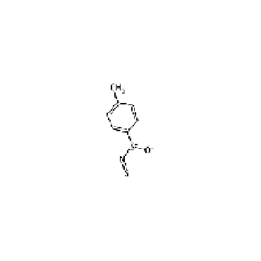 Cc1ccc([S+]([O-])N=S)cc1